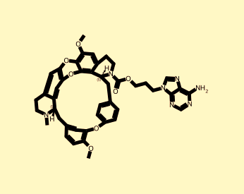 COc1ccc2cc1Oc1ccc(cc1)C[C@H]1c3c(cc(OC)c4c3Oc3cc5c(cc3O4)CCN(C)[C@H]5C2)CCN1C(=O)OCCCn1cnc2c(N)ncnc21